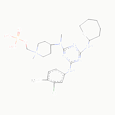 COc1ccc(Nc2nc(NC3CCCCCC3)nc(N(C)C3CC[N+](C)(COP(=O)(O)O)CC3)n2)cc1Cl